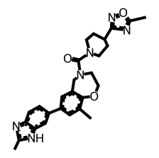 Cc1nc2ccc(-c3cc(C)c4c(c3)CN(C(=O)N3CCC(c5noc(C)n5)CC3)CCO4)cc2[nH]1